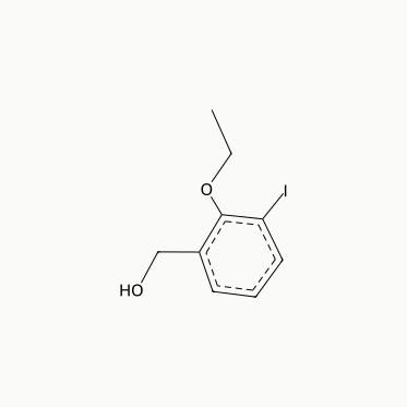 CCOc1c(I)cccc1CO